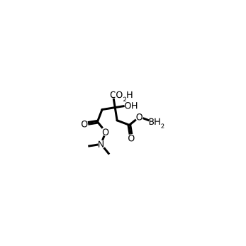 BOC(=O)CC(O)(CC(=O)ON(C)C)C(=O)O